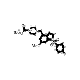 COc1cc(CN2CCN(C(=O)OC(C)(C)C)CC2)c2ccn(S(=O)(=O)c3ccc(F)cc3)c2c1